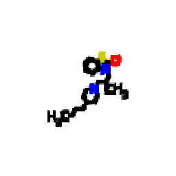 CCCCC1CCN(CC(C)Cn2c(=O)sc3ccccc32)CC1